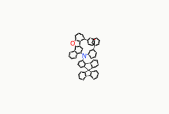 c1ccc(-c2cccc(N(c3cccc4c3-c3ccccc3C43c4ccccc4-c4ccccc43)c3cc4c(oc5cccc(-c6ccccc6)c54)c4ccccc34)c2)cc1